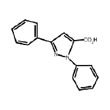 O=C(O)c1cc(-c2ccccc2)nn1-c1ccccc1